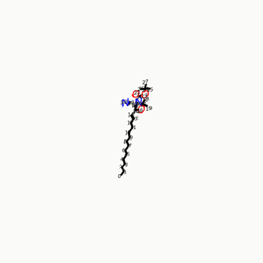 CCCCCCCCCCCCCC=C[C@H]1OC(C)(C)N(C(=O)OC(C)(C)C)[C@H]1C#N